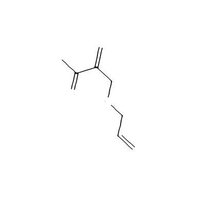 C=CCOCC(=C)C(C)=O